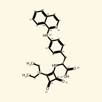 CCN(CC)c1c(N[C@@H](Cc2ccc(Nc3nccc4ccccc34)cc2)C(=O)O)c(=O)c1=O